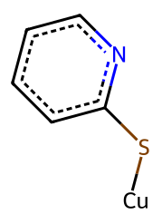 [Cu][S]c1ccccn1